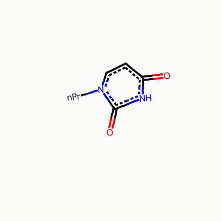 CCCn1ccc(=O)[nH]c1=O